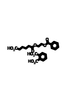 O=C(O)CCCCC(=O)OCCOC(=O)c1ccccc1.O=C(O)c1ccccc1C(=O)O